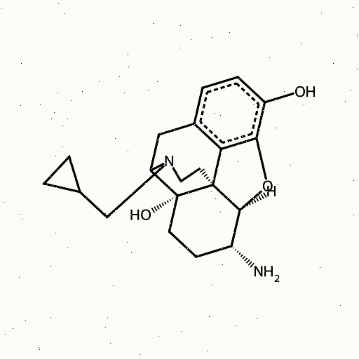 N[C@@H]1CC[C@@]2(O)C3Cc4ccc(O)c5c4[C@@]2(CCN3CC2CC2)[C@H]1O5